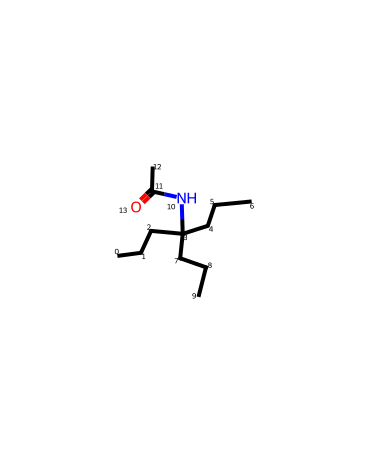 CCCC(CCC)(CCC)NC(C)=O